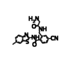 Cc1ccc2nc(NC(=O)c3ccc(C#N)cc3CNC(=O)CN)sc2c1